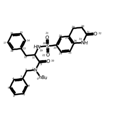 CCCCN(Cc1ccccc1)C(=O)C(Cc1ccccc1)NS(=O)(=O)c1ccc2c(c1)CCC(=O)N2